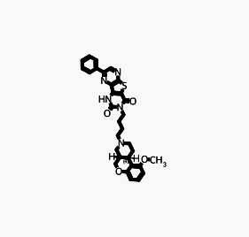 COc1cccc2c1[C@@H]1CCN(CCCCn3c(=O)[nH]c4c(sc5ncc(-c6ccccc6)nc54)c3=O)C[C@H]1CO2